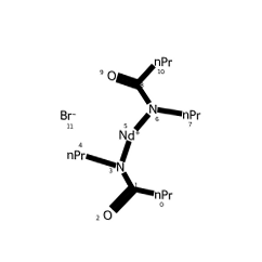 CCCC(=O)[N](CCC)[Nd+][N](CCC)C(=O)CCC.[Br-]